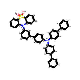 O=S1(=O)c2ccccc2N(c2cccc(-c3ccc(N(c4ccc(-c5ccccc5)cc4)c4ccc(-c5ccccc5)cc4)cc3)c2)c2ccccc21